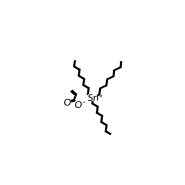 C=CC(=O)[O-].CCCCCCC[CH2][Sn+]([CH2]CCCCCCC)[CH2]CCCCCCC